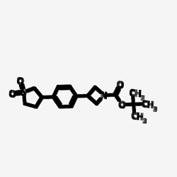 CC(C)(C)OC(=O)N1CC(c2ccc(C3CCS(=O)(=O)C3)cc2)C1